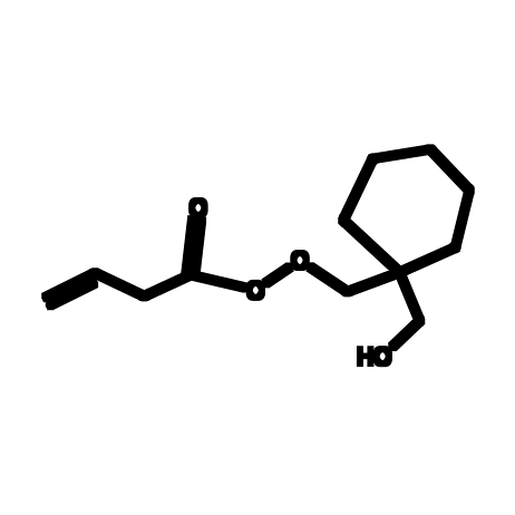 C=CCC(=O)OOCC1(CO)CCCCC1